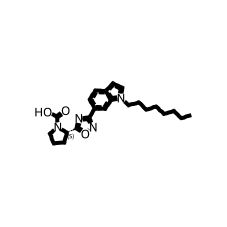 CCCCCCCCn1ccc2ccc(-c3noc([C@@H]4CCCN4C(=O)O)n3)cc21